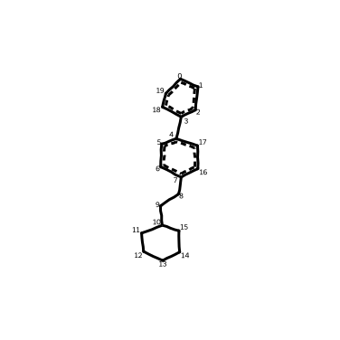 c1ccc(-c2ccc(CCC3CCCCC3)cc2)cc1